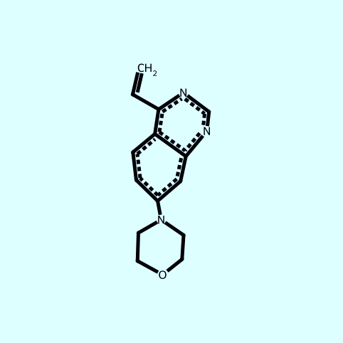 C=Cc1ncnc2cc(N3CCOCC3)ccc12